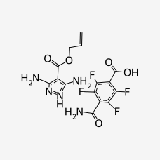 C=CCOC(=O)c1c(N)n[nH]c1N.NC(=O)c1c(F)c(F)c(C(=O)O)c(F)c1F